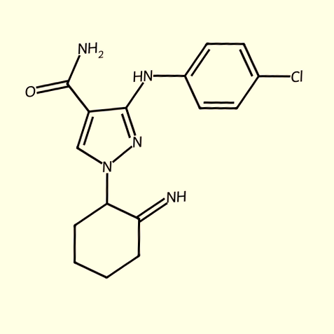 N=C1CCCCC1n1cc(C(N)=O)c(Nc2ccc(Cl)cc2)n1